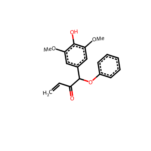 C=CC(=O)C(Oc1ccccc1)c1cc(OC)c(O)c(OC)c1